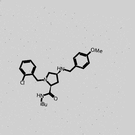 CCC(C)NC(=O)[C@@H]1C[C@H](NCc2ccc(OC)cc2)CN1Cc1ccccc1Cl